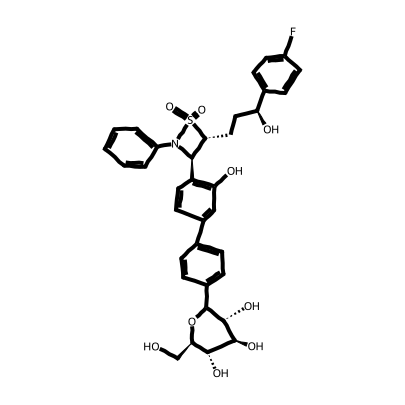 O=S1(=O)[C@H](CC[C@H](O)c2ccc(F)cc2)[C@@H](c2ccc(-c3ccc(C4O[C@H](CO)[C@@H](O)[C@H](O)[C@H]4O)cc3)cc2O)N1c1ccccc1